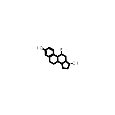 Oc1ccc2c(c1)CCC1C3CC[C@H](O)C3C[C@H](F)C21